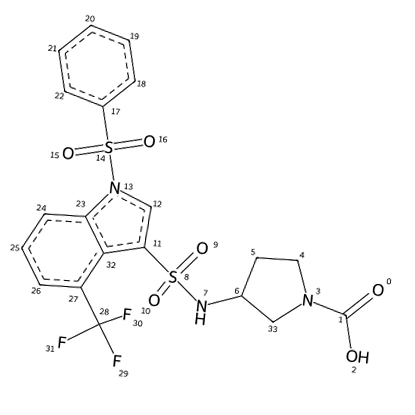 O=C(O)N1CCC(NS(=O)(=O)c2cn(S(=O)(=O)c3ccccc3)c3cccc(C(F)(F)F)c23)C1